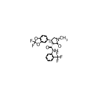 CN1C[C@H](c2ccc3c(c2)OC(F)(F)O3)[C@@H](C(=O)Nc2ccccc2C(F)(F)F)C1=O